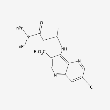 CCCN(CCC)C(=O)CC(C)Nc1c(C(=O)OCC)cnc2cc(Cl)cnc12